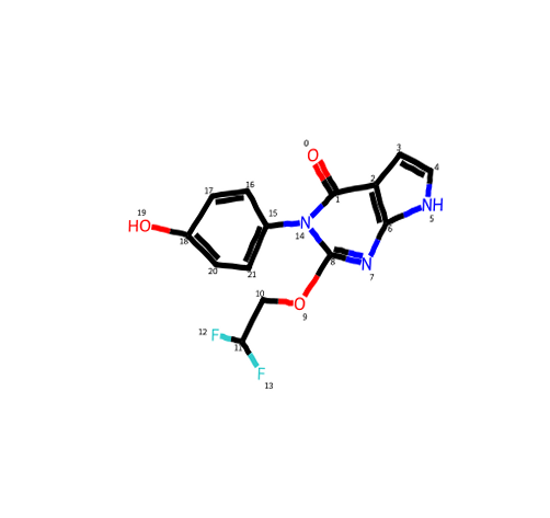 O=c1c2cc[nH]c2nc(OCC(F)F)n1-c1ccc(O)cc1